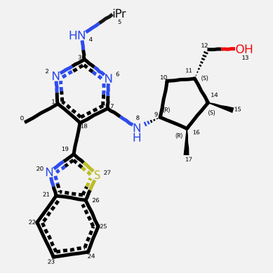 Cc1nc(NC(C)C)nc(N[C@@H]2C[C@H](CO)[C@@H](C)[C@H]2C)c1-c1nc2ccccc2s1